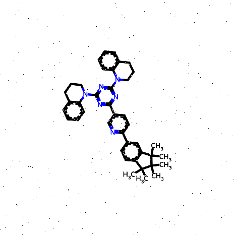 CC1(C)c2ccc(-c3ccc(-c4nc(N5CCCc6ccccc65)nc(N5CCCc6ccccc65)n4)cn3)cc2C(C)(C)C1(C)C